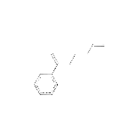 C=CCCCC(=C)c1ccccc1